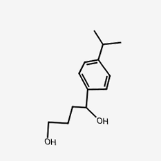 CC(C)c1ccc(C(O)CCCO)cc1